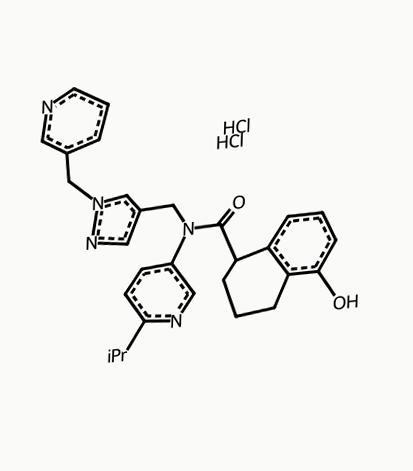 CC(C)c1ccc(N(Cc2cnn(Cc3cccnc3)c2)C(=O)C2CCCc3c(O)cccc32)cn1.Cl.Cl